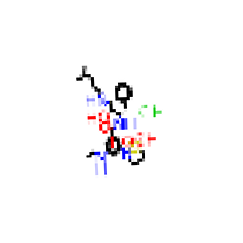 CCNc1cc(C(=O)N[C@@H](Cc2ccccc2)[C@@H](O)CNCCCC(C)C)cc(N2CCCCS2(O)O)c1.Cl